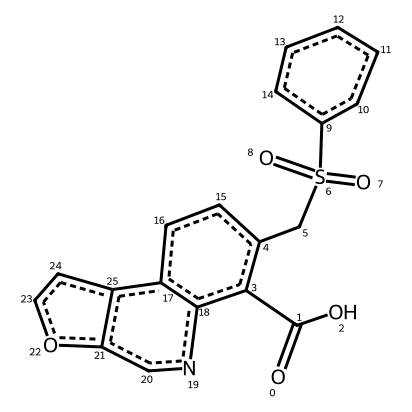 O=C(O)c1c(CS(=O)(=O)c2ccccc2)ccc2c1ncc1occc12